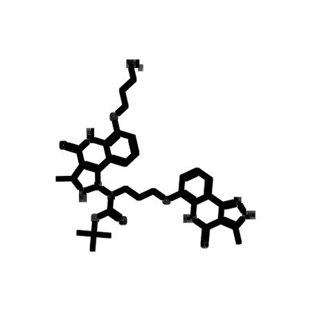 Cc1[nH]nc2c1c(=O)[nH]c1c(OCCCN(C(=O)OC(C)(C)C)N3NC(C)c4c3c3cccc(OCCCN)c3[nH]c4=O)cccc12